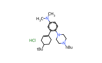 CCCCN1CCN(c2ccc(N(C)C)cc2C2=CCC(C(C)(C)C)CC2)CC1.Cl